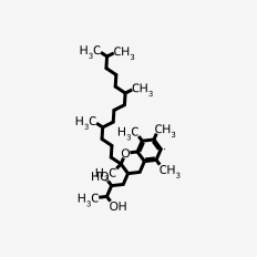 Cc1[c]c(C)c2c(c1C)OC(C)(CCCC(C)CCCC(C)CCCC(C)C)C(CC(O)C(C)O)C2